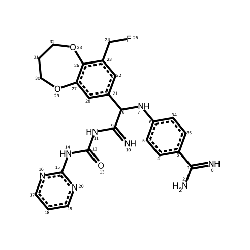 N=C(N)c1ccc(NC(C(=N)NC(=O)Nc2ncccn2)c2cc(CF)c3c(c2)OCCCO3)cc1